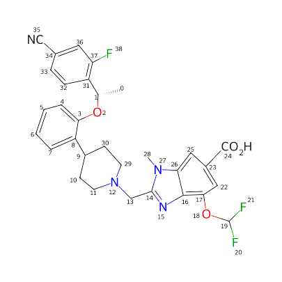 C[C@H](Oc1ccccc1C1CCN(Cc2nc3c(OC(F)F)cc(C(=O)O)cc3n2C)CC1)c1ccc(C#N)cc1F